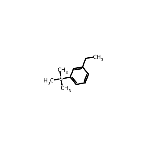 CCc1cccc(S(C)(C)C)c1